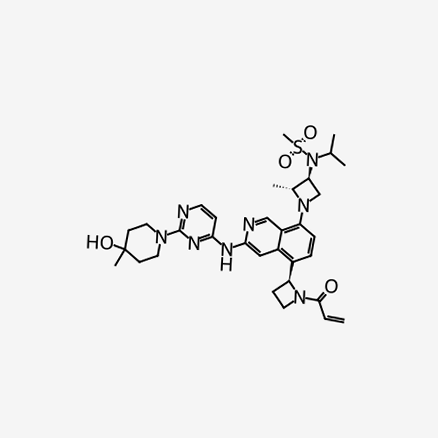 C=CC(=O)N1CC[C@H]1c1ccc(N2C[C@H](N(C(C)C)S(C)(=O)=O)[C@H]2C)c2cnc(Nc3ccnc(N4CCC(C)(O)CC4)n3)cc12